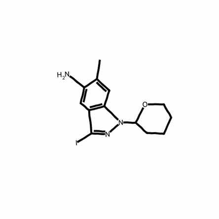 Cc1cc2c(cc1N)c(I)nn2C1CCCCO1